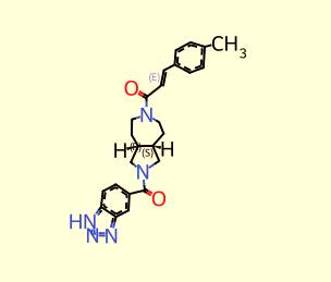 Cc1ccc(/C=C/C(=O)N2CC[C@@H]3CN(C(=O)c4ccc5[nH]nnc5c4)C[C@@H]3CC2)cc1